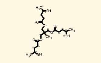 CC(S)CCC(=O)OCC(C)(COC(=O)CCC(C)S)COC(=O)CCC(C)S